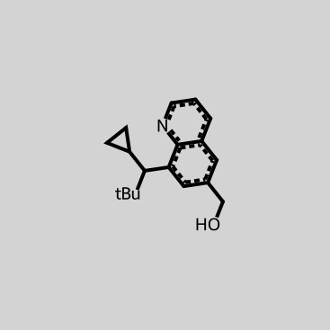 CC(C)(C)C(c1cc(CO)cc2cccnc12)C1CC1